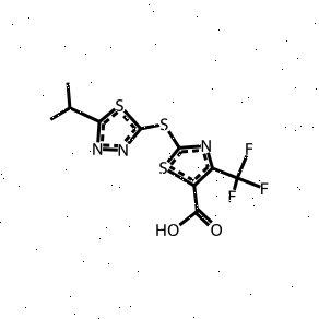 CC(C)c1nnc(Sc2nc(C(F)(F)F)c(C(=O)O)s2)s1